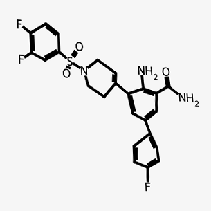 NC(=O)c1cc(-c2ccc(F)cc2)cc(C2=CCN(S(=O)(=O)c3ccc(F)c(F)c3)CC2)c1N